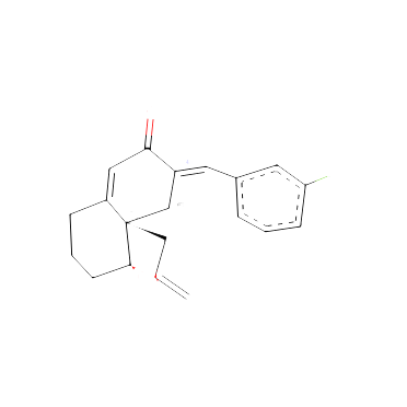 C=CC[C@@]12C(=CC(=O)/C(=C/c3cccc(F)c3)[C@@H]1C)CCC[C@@H]2O